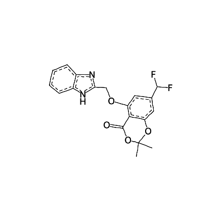 CC1(C)OC(=O)c2c(OCc3nc4ccccc4[nH]3)cc(C(F)F)cc2O1